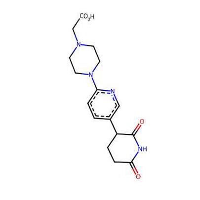 O=C(O)CN1CCN(c2ccc(C3CCC(=O)NC3=O)cn2)CC1